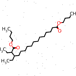 CCCCOC(=O)CCCCCCCCCCCCC(CC)C(CC)C(=O)OCCCC